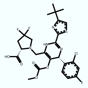 COC(=O)OC1=C(CN2CC(F)(F)C[C@H]2C(=O)O)NC(c2nc(C(C)(C)C)cs2)=N[C@@H]1c1ccc(F)cc1Cl